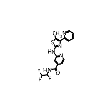 Cc1sc(Nc2cc(C(=O)NC(F)C(F)F)ccn2)nc1-c1ccccn1